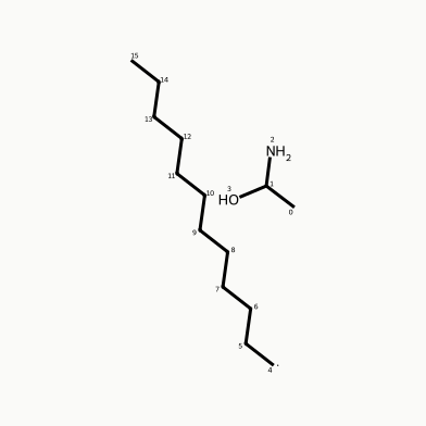 CC(N)O.[CH2]CCCCCCCCCCC